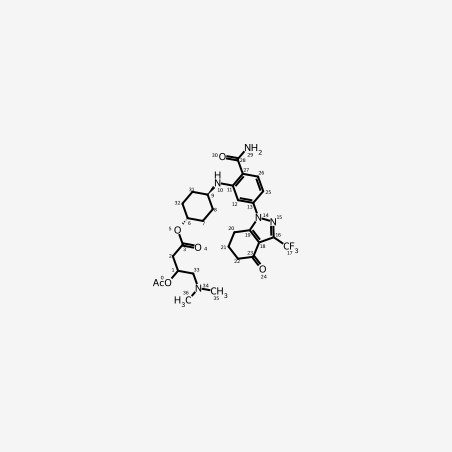 CC(=O)OC(CC(=O)O[C@H]1CC[C@H](Nc2cc(-n3nc(C(F)(F)F)c4c3CCCC4=O)ccc2C(N)=O)CC1)CN(C)C